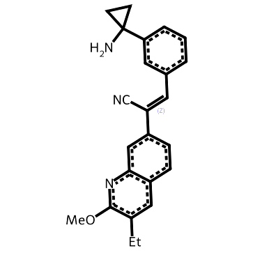 CCc1cc2ccc(/C(C#N)=C/c3cccc(C4(N)CC4)c3)cc2nc1OC